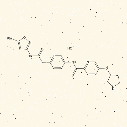 CC(C)(C)c1cc(NC(=O)Cc2ccc(NC(=O)c3ccc(OC4CCNC4)cn3)cc2)no1.Cl